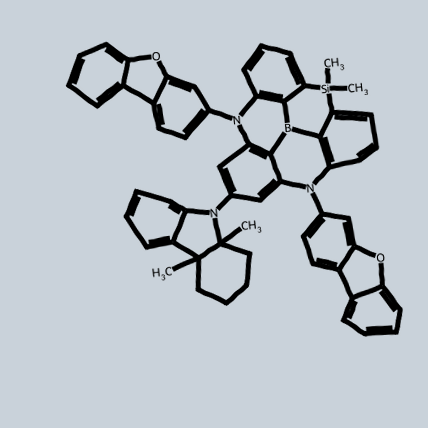 CC12CCCCC1(C)N(c1cc3c4c(c1)N(c1ccc5c(c1)oc1ccccc15)c1cccc5c1B4c1c(cccc1[Si]5(C)C)N3c1ccc3c(c1)oc1ccccc13)c1ccccc12